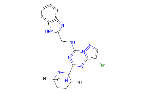 Brc1cnn2c(NCc3nc4ccccc4[nH]3)nc(N3C[C@H]4CC[C@@H]3CN4)nc12